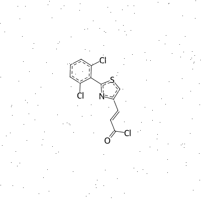 O=C(Cl)C=Cc1csc(-c2c(Cl)cccc2Cl)n1